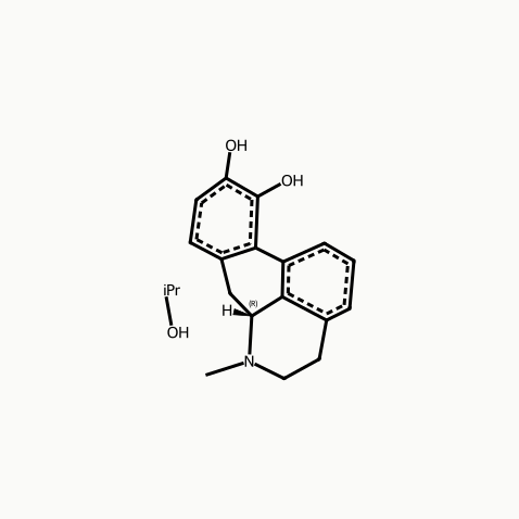 CC(C)O.CN1CCc2cccc3c2[C@H]1Cc1ccc(O)c(O)c1-3